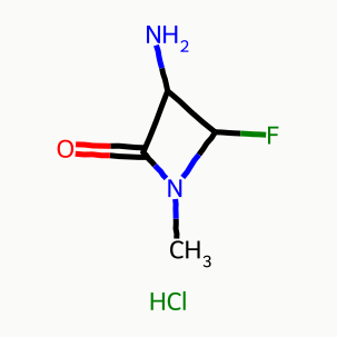 CN1C(=O)C(N)C1F.Cl